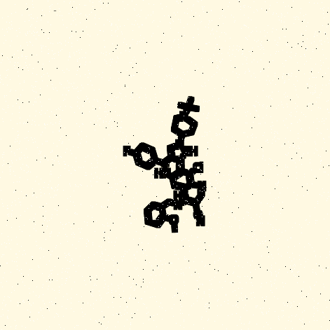 COc1ccccc1CNc1c(C#N)cnc2c(Cl)cc(N[C@H](C3=CN(C4CCN(C(C)(C)C)CC4)NN3)c3ccc(F)cc3)cc12